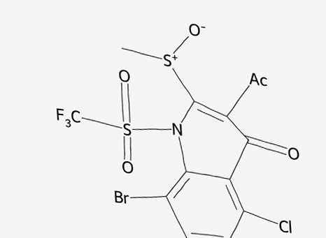 CC(=O)c1c([S+](C)[O-])n(S(=O)(=O)C(F)(F)F)c2c(Br)ccc(Cl)c2c1=O